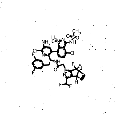 Cn1nc(NS(C)(=O)=O)c2c(Cl)ccc(-c3cc(N)c(Cl)nc3[C@H](Cc3cc(F)cc(F)c3)NC(=O)Cn3nc(C(F)F)c4c3C(F)(F)[C@@H]3C#C[C@H]43)c21